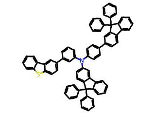 c1ccc(C2(c3ccccc3)c3ccccc3-c3cc(N(c4ccc(-c5ccc6c(c5)C(c5ccccc5)(c5ccccc5)c5ccccc5-6)cc4)c4cccc(-c5ccc6sc7ccccc7c6c5)c4)ccc32)cc1